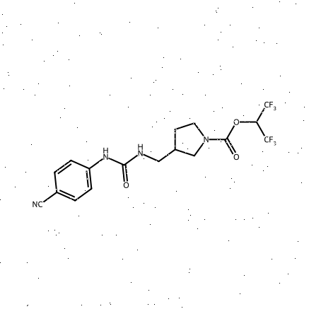 N#Cc1ccc(NC(=O)NCC2CCN(C(=O)OC(C(F)(F)F)C(F)(F)F)C2)cc1